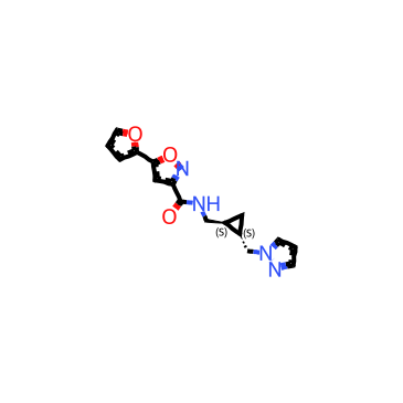 O=C(NC[C@H]1C[C@@H]1Cn1cccn1)c1cc(-c2ccco2)on1